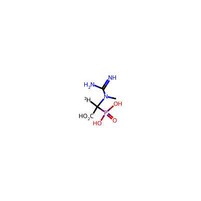 [2H]C(C(=O)O)(N(C)C(=N)N)P(=O)(O)O